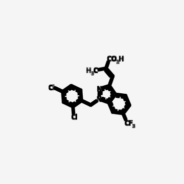 C/C(=C\c1nn(Cc2ccc(Cl)cc2Cl)c2cc(C(F)(F)F)ccc12)C(=O)O